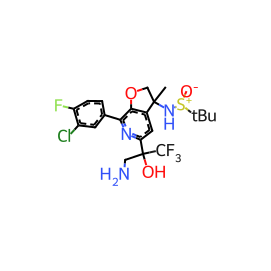 CC1(N[S+]([O-])C(C)(C)C)COc2c1cc(C(O)(CN)C(F)(F)F)nc2-c1ccc(F)c(Cl)c1